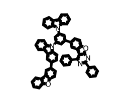 c1ccc(-c2nc(-c3ccccc3)c3c(n2)oc2ccc(-c4cc(-n5c6ccccc6c6ccccc65)cc(-n5c6ccccc6c6cc(-c7ccc8oc9ccccc9c8c7)ccc65)c4)cc23)cc1